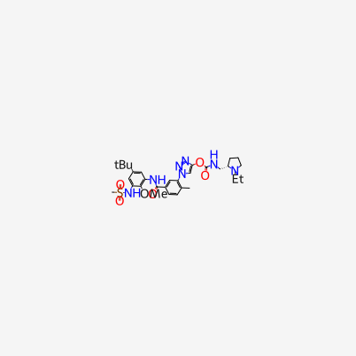 CCN1CCC[C@H]1CNC(=O)Oc1cn(-c2cc(C(=O)Nc3cc(C(C)(C)C)cc(NS(C)(=O)=O)c3OC)ccc2C)nn1